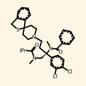 CC(C)C(=O)N(C)C[C@](CCN1CCC2(CC1)SCc1ccccc12)(c1ccc(Cl)c(Cl)c1)N(C)C(=O)c1ccccc1